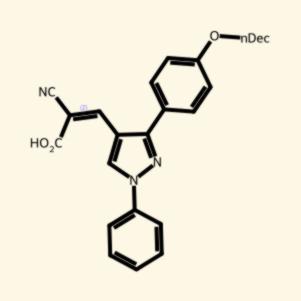 CCCCCCCCCCOc1ccc(-c2nn(-c3ccccc3)cc2/C=C(/C#N)C(=O)O)cc1